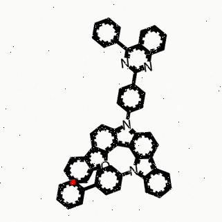 c1ccc(-c2ccc(-n3c4ccccc4c4ccc5c(c6c7oc8ccccc8c7ccc6n5-c5ccc(-c6nc(-c7ccccc7)c7ccccc7n6)cc5)c43)cc2)cc1